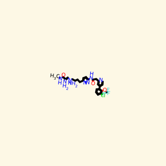 CNC(=O)/C(N)=C/N(N)CCCCc1ccc(NC(=O)Cc2cc(-c3cccc(Cl)c3OC(F)(F)F)ccn2)nn1